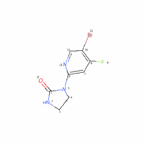 O=C1NCCN1c1cc(F)c(Br)cn1